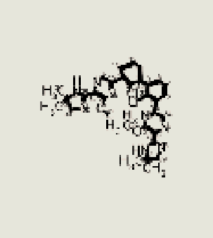 COc1nc(-c2cccc(-c3cccc(-c4cnc(C5=NCC(C)(C)N5)c(OC)n4)c3Cl)c2Cl)cnc1C1=NCC(C)(C)N1